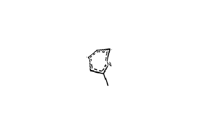 Cc1c[c]c[c]n1